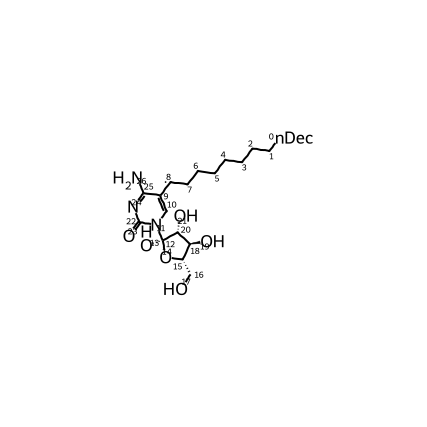 CCCCCCCCCCCCCCCCC[CH]c1cn([C@]2(O)O[C@@H](CO)[C@H](O)[C@H]2O)c(=O)nc1N